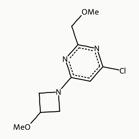 COCc1nc(Cl)cc(N2CC(OC)C2)n1